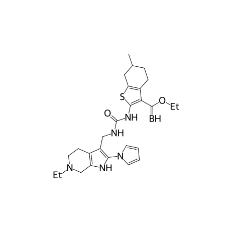 B=C(OCC)c1c(NC(=O)NCc2c(-n3cccc3)[nH]c3c2CCN(CC)C3)sc2c1CCC(C)C2